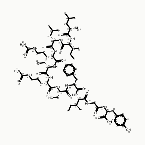 CC[C@H](C)[C@H](NC(=O)[C@H](Cc1ccccc1)NC(=O)[C@H](CO)NC(=O)[C@H](CCCNC(=N)N)NC(=O)[C@H](CS)NC(=O)[C@H](CCCNC(=N)N)NC(=O)[C@H](CC(C)C)NC(=O)[C@@H](NC(=O)[C@@H](N)CC(C)C)[C@@H](C)CC)C(=O)NCC(=O)N[C@@H](Cc1ccc(O)cc1)C(=O)O